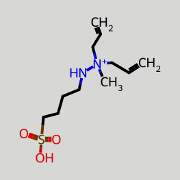 C=CC[N+](C)(CC=C)NCCCCS(=O)(=O)O